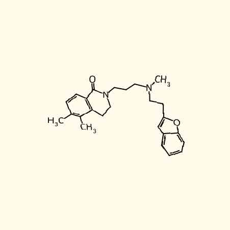 Cc1ccc2c(c1C)CCN(CCCN(C)CCc1cc3ccccc3o1)C2=O